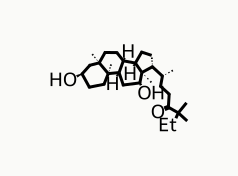 CCC(C)(C)C(=O)CC[C@@H](C)[C@H]1CC[C@H]2[C@@H]3CC[C@]4(C)C[C@H](O)CC[C@]4(C)[C@H]3C[C@H](O)[C@]12C